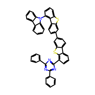 c1ccc(-c2nc(-c3ccccc3)nc(-c3cccc4c3sc3cc(-c5ccc6c(c5)sc5cccc(-n7c8ccccc8c8ccccc87)c56)ccc34)n2)cc1